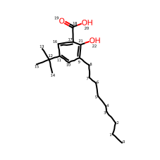 CCCCCCCCCc1cc(C(C)(C)C)cc(C(=O)O)c1O